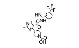 Cc1nc(C)c(C(=O)ONC(=N)c2cccc(C(F)(F)F)c2)c(C2CCN(C(=O)O)CC2)n1